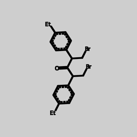 CCc1ccc(C(CBr)C(=O)C(CBr)c2ccc(CC)cc2)cc1